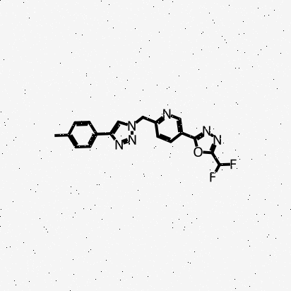 Cc1ccc(-c2cn(Cc3ccc(-c4nnc(C(F)F)o4)cn3)nn2)cc1